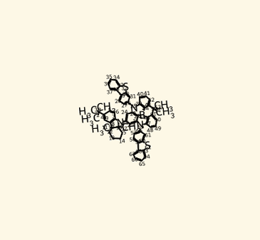 CC(C)(C)c1ccc2c(c1)C1(C)CCCCC1(C)N2c1cc2c3c(c1)N(c1ccc4c(c1)sc1ccccc14)c1cccc4c1B3c1c(cccc1C4(C)C)N2c1ccc2c(c1)sc1ccccc12